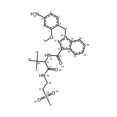 COc1cc(N)ccc1Cn1nc(C(=O)NC(C(=O)NCCS(C)(=O)=O)C(C)(C)C)c2ccccc21